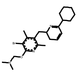 Cc1nc(OCN(C)C)c(Br)c(C)c1CC1CC=CC(C2CCCCC2)=N1